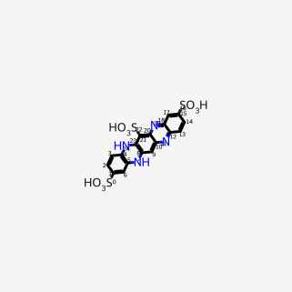 O=S(=O)(O)c1ccc2c(c1)Nc1cc3nc4ccc(S(=O)(=O)O)cc4nc3c(S(=O)(=O)O)c1N2